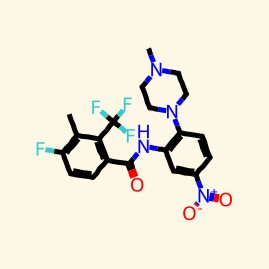 Cc1c(F)ccc(C(=O)Nc2cc([N+](=O)[O-])ccc2N2CCN(C)CC2)c1C(F)(F)F